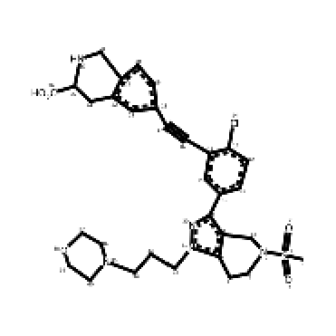 CS(=O)(=O)N1CCc2c(c(-c3ccc(Cl)c(C#Cc4ccc5c(c4)CC(C(=O)O)NC5)c3)nn2CCCN2CCOCC2)C1